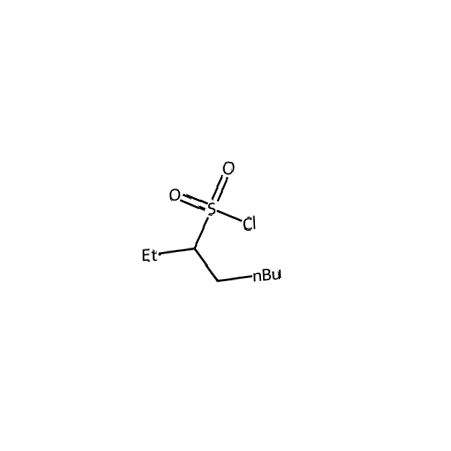 CCCCCC(CC)S(=O)(=O)Cl